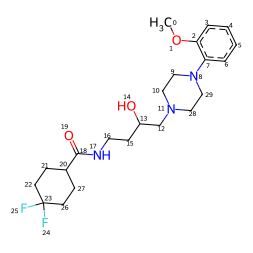 COc1ccccc1N1CCN(CC(O)CCNC(=O)C2CCC(F)(F)CC2)CC1